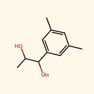 Cc1cc(C)cc(C(O)C(C)O)c1